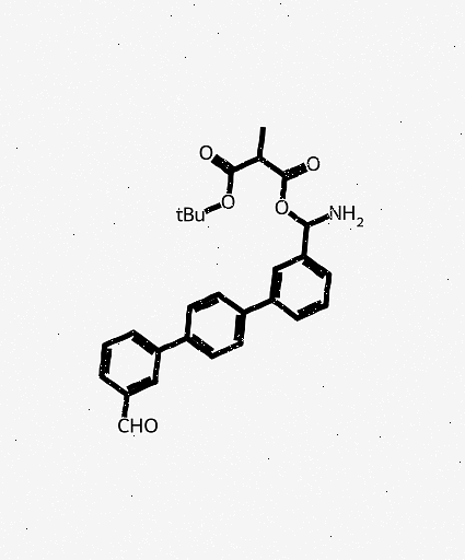 CC(C(=O)OC(N)c1cccc(-c2ccc(-c3cccc(C=O)c3)cc2)c1)C(=O)OC(C)(C)C